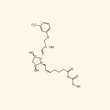 CC(C)OC(=O)OC(=O)CCC/C=C\C[C@@H]1[C@@H](/C=C/[C@@H](O)COc2cccc(C(F)(F)F)c2)[C@H](O)C[C@@H]1O